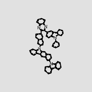 c1ccc(-n2c3ccccc3c3cc(-c4nc5ccccc5nc4-c4ccc5cc(-n6c7ccccc7c7cc8cc(-n9c%10ccccc%10c%10ccccc%109)ccc8cc76)ccc5c4)ccc32)cc1